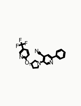 N#Cc1cc(-c2ccccc2)ncc1N1CC[C@H](Oc2ccc(C(F)(F)F)cn2)C1